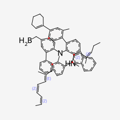 BCc1ccc(N(c2cc(/C(C)=C/C=C\C=C/C)ccc2C(C)/C=C\C(C)=C/CC)c2c(-c3ccc(C4=CCCCC4)cc3C)ccc3c2[nH]c2ccccc23)c(-c2ccccc2)c1